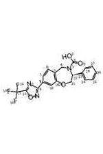 O=C(O)N1Cc2ccc(-c3noc(C(F)(F)F)n3)cc2OC[C@@H]1c1ccccc1